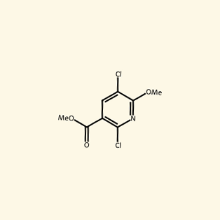 COC(=O)c1cc(Cl)c(OC)nc1Cl